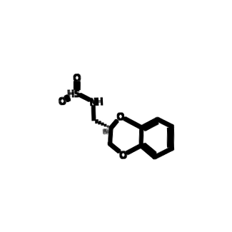 O=[SH](=O)NC[C@H]1COc2ccccc2O1